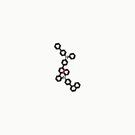 c1ccc(-c2ccc(N(c3ccccc3)c3ccc(-c4ccc(-c5ccccc5N(c5ccccc5)c5ccc(-c6cccc7ccccc67)cc5)cc4)cc3)cc2)cc1